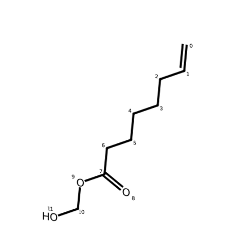 C=CCCCCCC(=O)OCO